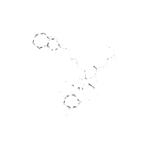 Cc1cc(C)c(S(=O)(=O)NC(CCCCNc2nc3ccccc3[nH]2)(NC(=O)CC2CCNO2)C(=O)O)c(C)c1